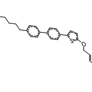 CCCCC/C=C/COc1ccc(-c2ccc(-c3ccc(CCCCC)cc3)cc2)s1